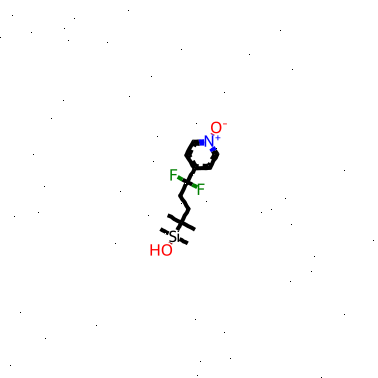 CC(C)(CCC(F)(F)c1cc[n+]([O-])cc1)[Si](C)(C)O